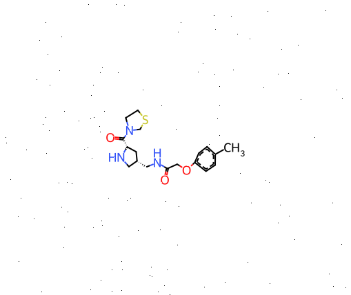 Cc1ccc(OCC(=O)NC[C@@H]2CN[C@H](C(=O)N3CCSC3)C2)cc1